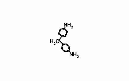 Nc1ccc(Cc2ccc(N)cc2)cc1.O